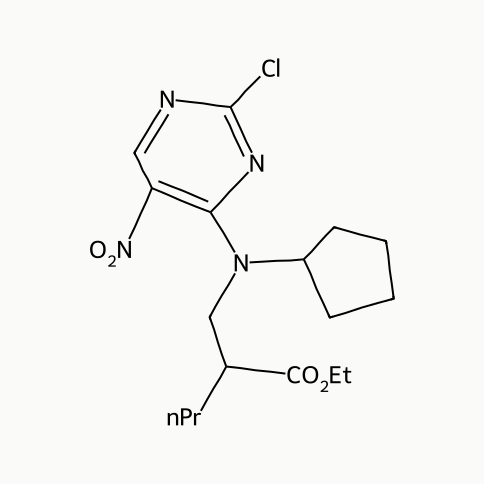 CCCC(CN(c1nc(Cl)ncc1[N+](=O)[O-])C1CCCC1)C(=O)OCC